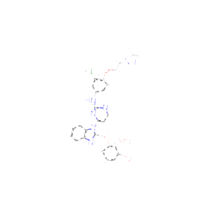 COc1cccc(Oc2nc3ccccc3n2-c2ccnc(Nc3ccc(OCCNC(C)C)c(Cl)c3)n2)c1OC